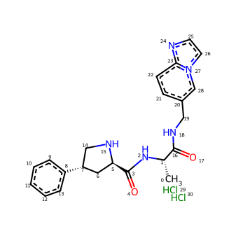 C[C@H](NC(=O)[C@H]1C[C@H](c2ccccc2)CN1)C(=O)NCc1ccc2nccn2c1.Cl.Cl